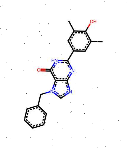 Cc1cc(-c2nc3ncn(Cc4ccccc4)c3c(=O)[nH]2)cc(C)c1O